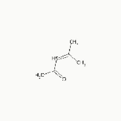 CC(=O)[SH]=C(C)C